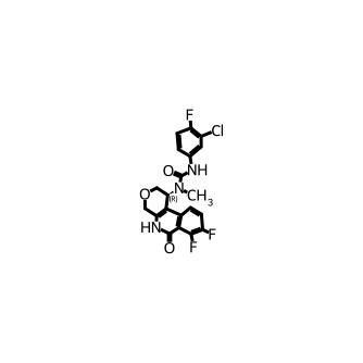 CN(C(=O)Nc1ccc(F)c(Cl)c1)[C@H]1COCc2[nH]c(=O)c3c(F)c(F)ccc3c21